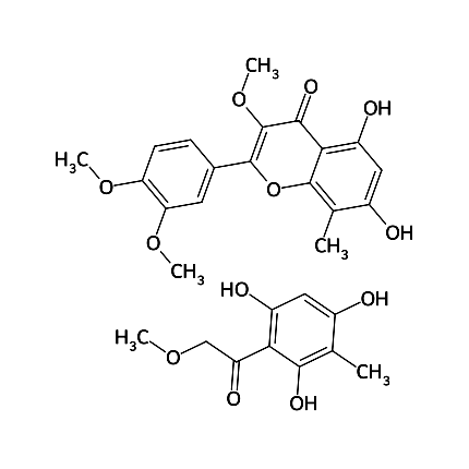 COCC(=O)c1c(O)cc(O)c(C)c1O.COc1ccc(-c2oc3c(C)c(O)cc(O)c3c(=O)c2OC)cc1OC